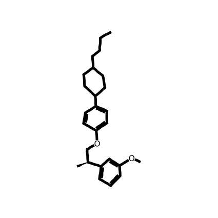 CCCCC1CCC(c2ccc(OC[C@H](C)c3cccc(OC)c3)cc2)CC1